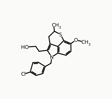 COc1ccc2c3c(c(CCO)n2Cc2ccc(Cl)cc2)CC(C)Sc13